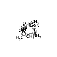 Cc1ccc2c(c1)[C@@H](C)Oc1cc(cnc1N)-c1c(nn(C)c1C#N)CN1C(=O)N[S+]([O-])N21